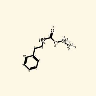 O=C(NCCc1ccccc1)O[SiH2][SiH3]